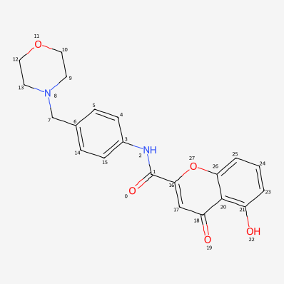 O=C(Nc1ccc(CN2CCOCC2)cc1)c1cc(=O)c2c(O)cccc2o1